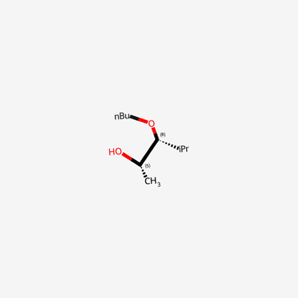 CCCCO[C@H](C(C)C)[C@H](C)O